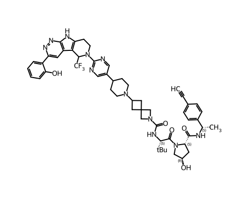 C#Cc1ccc([C@H](C)NC(=O)[C@@H]2C[C@@H](O)CN2C(=O)[C@@H](NC(=O)N2CC3(CC(N4CCC(c5cnc(N6CCc7[nH]c8nnc(-c9ccccc9O)cc8c7C6C(F)(F)F)nc5)CC4)C3)C2)C(C)(C)C)cc1